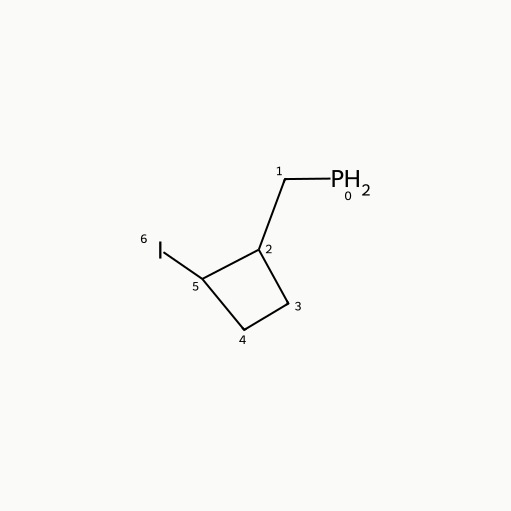 PCC1CCC1I